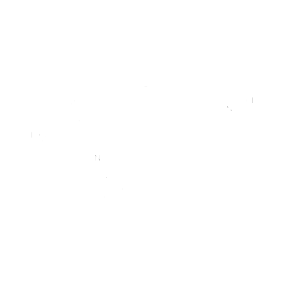 CN1Cc2ccc(-c3c(F)cc4c(=O)c(C(=O)O)cn(C5CC5)c4c3CF)cc2C1